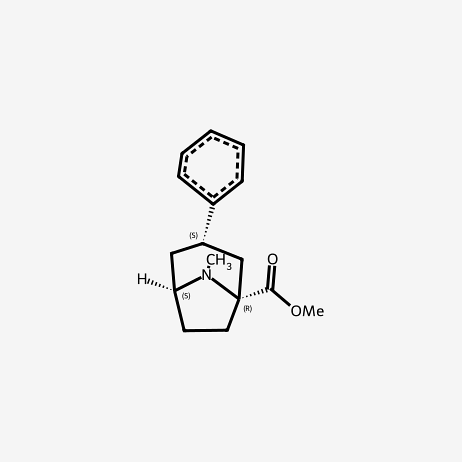 COC(=O)[C@@]12CC[C@@H](C[C@H](c3ccccc3)C1)N2C